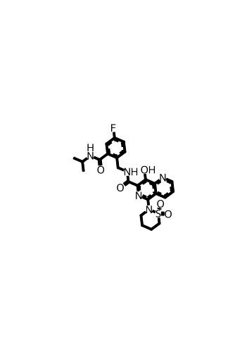 CC(C)NC(=O)c1cc(F)ccc1CNC(=O)c1nc(N2CCCCS2(=O)=O)c2cccnc2c1O